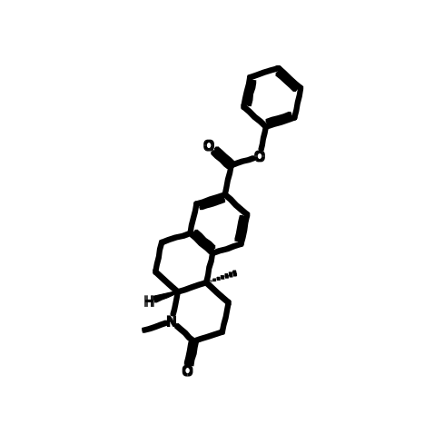 CN1C(=O)CC[C@]2(C)c3ccc(C(=O)Oc4ccccc4)cc3CC[C@@H]12